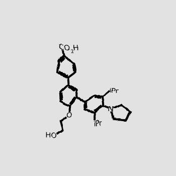 CC(C)c1cc(-c2cc(-c3ccc(C(=O)O)cc3)ccc2OCCO)cc(C(C)C)c1N1CCCC1